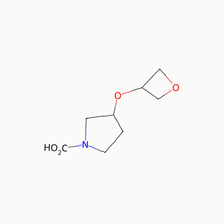 O=C(O)N1CCC(OC2COC2)C1